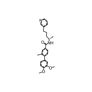 COc1ccc(-c2ccc(C(=O)N[C@H](C)CCCc3cccnc3)cc2C)cc1OC